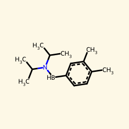 Cc1ccc(BN(C(C)C)C(C)C)cc1C